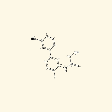 Cc1ccc(-c2ccnc(C(C)(C)C)n2)cc1NC(=O)OC(C)(C)C